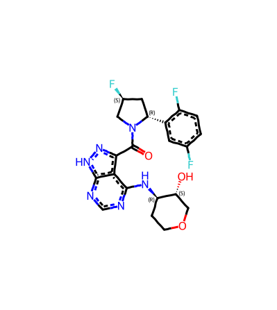 O=C(c1n[nH]c2ncnc(N[C@@H]3CCOC[C@H]3O)c12)N1C[C@@H](F)C[C@@H]1c1cc(F)ccc1F